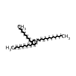 CCCCCCCCCCCCCC[n+]1ccc(CCCCCCCCCC)c(CCCCCCCCCC)c1